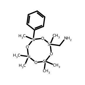 C[Si]1(C)O[Si](C)(C)O[Si](C)(c2ccccc2)O[Si](C)(CN)O1